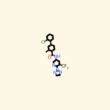 Cc1cc(-c2ccccc2Cl)ccc1C(=O)Nc1cnc(-n2nccn2)c(C(F)(F)F)c1